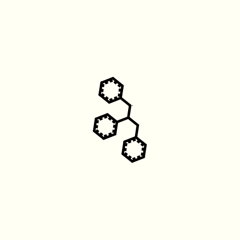 [CH](c1ccccc1)C(Cc1ccccc1)c1ccccc1